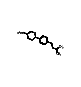 C=C(C)CCc1ccc(C2OCC(CCCCC)CO2)cc1